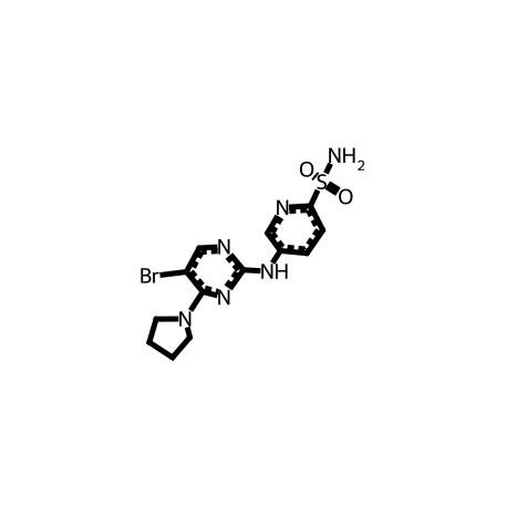 NS(=O)(=O)c1ccc(Nc2ncc(Br)c(N3CCCC3)n2)cn1